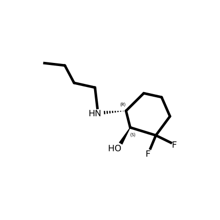 CCCCN[C@@H]1CCCC(F)(F)[C@H]1O